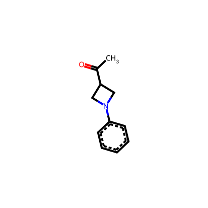 CC(=O)C1CN(c2ccccc2)C1